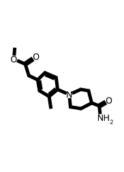 COC(=O)Cc1ccc(N2CCC(C(N)=O)CC2)c(C)c1